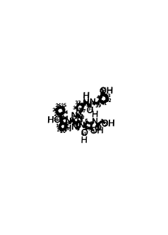 O=C(CO)N[C@H]1C[C@@H](n2cnc3c(NCC(O)(c4ccccc4)c4ccccc4)nc(N4CC[C@@H](NC(=O)NCc5cccc(O)c5)C4)nc32)[C@H](O)[C@@H]1O